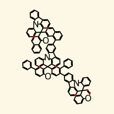 c1ccc(-c2ccc3c(c2)C2(c4cc(-c5ccccc5)c(-c5ccc6c(c5)c5cccc7c5n6-c5ccccc5C75c6ccccc6Oc6ccccc65)cc4O3)c3ccccc3-n3c4ccc(-c5cccc6ccc7c(c56)Oc5c(ccc6ccccc56)C75c6ccccc6-n6c7ccccc7c7cccc5c76)cc4c4cccc2c43)cc1